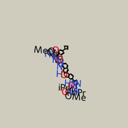 C=CCCN(Cc1nc2ccc3cc4c(cc3c2[nH]1)OCc1cc(-c2cnc(CN(CCC)C(=O)[C@@H](NC(=O)OC)C(C)C)[nH]2)ccc1-4)C(=O)[C@H](NC(=O)OC)c1ccc(C2C=CC2)cc1